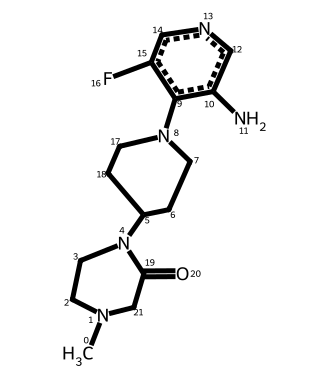 CN1CCN(C2CCN(c3c(N)cncc3F)CC2)C(=O)C1